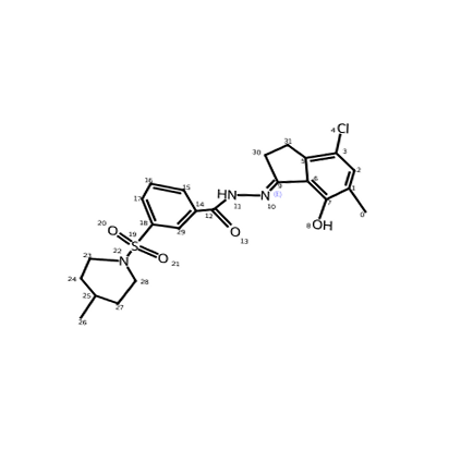 Cc1cc(Cl)c2c(c1O)/C(=N/NC(=O)c1cccc(S(=O)(=O)N3CCC(C)CC3)c1)CC2